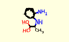 C[C@@H](Nc1c[c]ccc1N)C(O)O